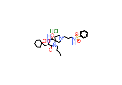 CCCCN1C(=O)[C@@H](CC2(O)CCCCC2)NC(=O)C12CCN(CCCNS(=O)(=O)c1ccccc1)CC2.Cl